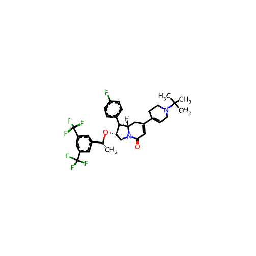 C[C@@H](O[C@H]1CN2C(=O)C=C(C3=CCN(C(C)(C)C)CC3)C[C@H]2C1c1ccc(F)cc1)c1cc(C(F)(F)F)cc(C(F)(F)F)c1